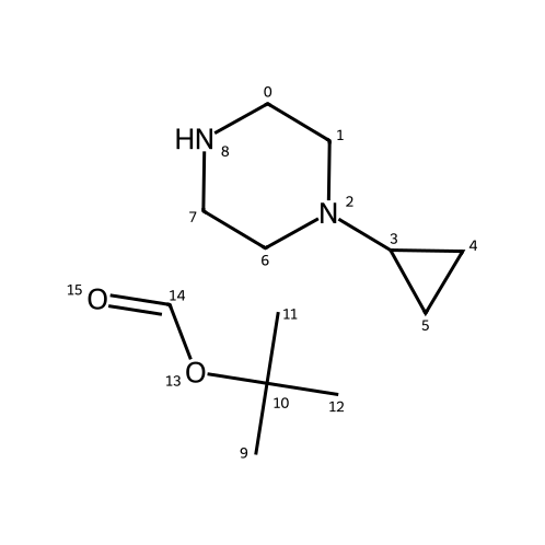 C1CN(C2CC2)CCN1.CC(C)(C)OC=O